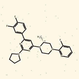 C[C@@H]1CN(c2ncccc2F)CCN1c1cc(-c2ccc(F)c(F)c2)nc(N2CCCC2)n1